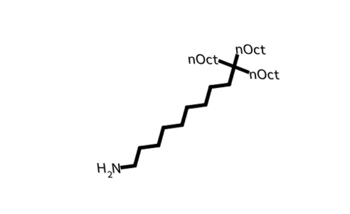 CCCCCCCCC(CCCCCCCC)(CCCCCCCC)CCCCCCCCCN